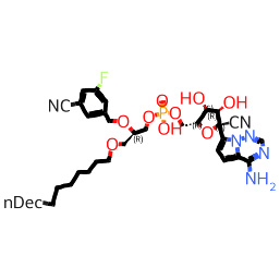 CCCCCCCCCCCCCCCCCOC[C@H](COP(=O)(O)OC[C@H]1O[C@@](C#N)(c2ccc3c(N)ncnn23)[C@H](O)[C@@H]1O)OCc1cc(F)cc(C#N)c1